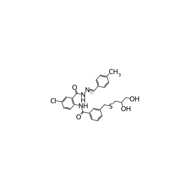 Cc1ccc(/C=N/NC(=O)c2cc(Cl)ccc2NC(=O)c2cccc(CSCC(O)CO)c2)cc1